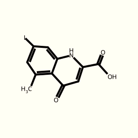 Cc1cc(I)cc2[nH]c(C(=O)O)cc(=O)c12